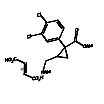 CNCC1CC1(C(=O)OC)c1ccc(Cl)c(Cl)c1.O=C(O)/C=C/C(=O)O